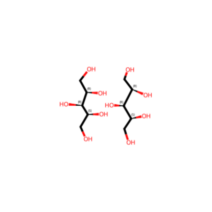 OC[C@@H](O)[C@H](O)[C@@H](O)CO.OC[C@@H](O)[C@H](O)[C@@H](O)CO